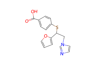 O=C(O)c1ccc(SC(Cn2ccnc2)c2ccco2)cc1